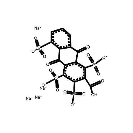 O=C1c2cccc(S(=O)(=O)[O-])c2C(=O)c2c1c(S(=O)(=O)[O-])c(C(=O)O)c(S(=O)(=O)[O-])c2S(=O)(=O)[O-].[Na+].[Na+].[Na+].[Na+]